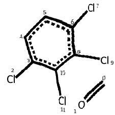 C=O.Clc1ccc(Cl)c(Cl)c1Cl